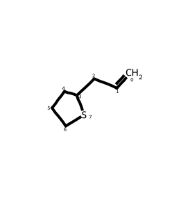 C=CCC1CCCS1